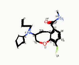 CCCN(C1CCCC1)C1COc2c(F)ccc(C(=O)NC)c2C1